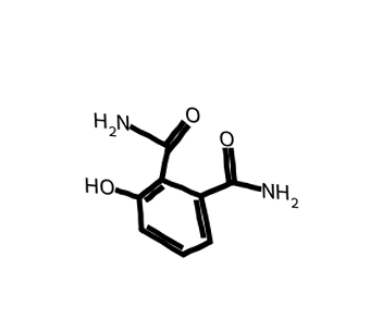 NC(=O)c1cccc(O)c1C(N)=O